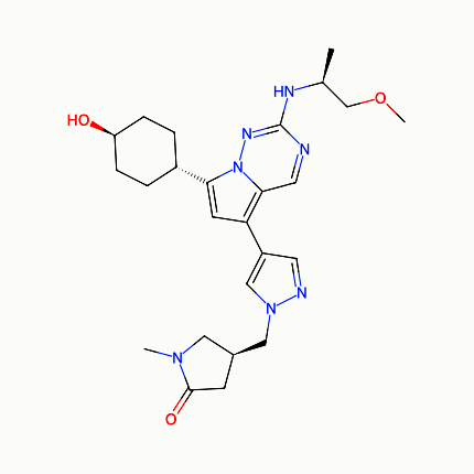 COC[C@H](C)Nc1ncc2c(-c3cnn(C[C@H]4CC(=O)N(C)C4)c3)cc([C@H]3CC[C@H](O)CC3)n2n1